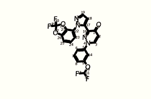 O=c1ccn(-c2cccc(OC(F)F)c2)nc1-c1ccnn1-c1cccc2c1OC(F)(F)O2